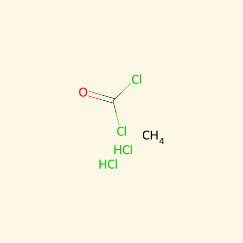 C.Cl.Cl.O=C(Cl)Cl